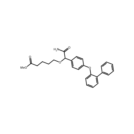 COC(=O)CCCCOC(C(N)=O)c1ccc(Oc2ccccc2-c2ccccc2)cc1